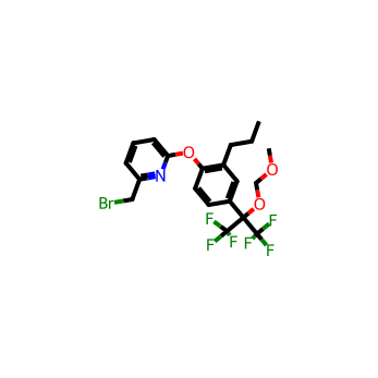 CCCc1cc(C(OCOC)(C(F)(F)F)C(F)(F)F)ccc1Oc1cccc(CBr)n1